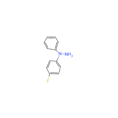 NN(c1ccccc1)c1ccc(F)cc1